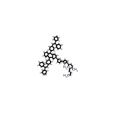 C=C(/C=C\C=C/C)/C=C\C(=C)c1ccc(-c2ccc(-c3ccc4c(-c5ccc(C=C(c6ccccc6)c6ccccc6)cc5)c5ccccc5c(-c5ccc(C=C(c6ccccc6)c6ccccc6)cc5)c4c3)s2)s1